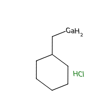 Cl.[GaH2][CH2]C1CCCCC1